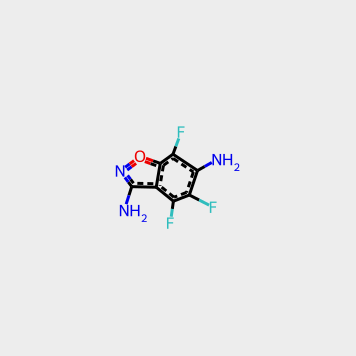 Nc1c(F)c(F)c2c(N)noc2c1F